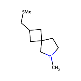 CSCC1CC2(CCN(C)C2)C1